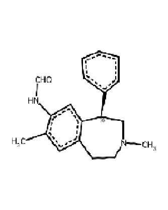 Cc1cc2c(cc1NC=O)[C@@H](c1ccccc1)CN(C)CC2